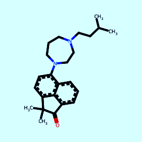 CC(C)CCN1CCCN(c2ccc3c4c(cccc24)C(=O)C3(C)C)CC1